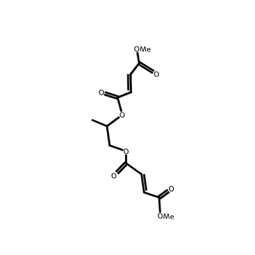 COC(=O)/C=C/C(=O)OCC(C)OC(=O)/C=C/C(=O)OC